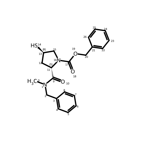 CN(Cc1ccccc1)C(=O)[C@@H]1C[C@@H](S)CN1C(=O)OCc1ccccc1